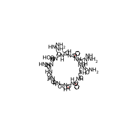 CC[C@H](C)[C@@H]1NC(=O)[C@H](CC(C)C)NC(=O)[C@H](Cc2ccccc2)NC(=O)CSC[C@@H](C(=O)NCC(N)=O)NC(=O)[C@H](CCCNC(=N)N)NC(=O)[C@H](Cc2ccccc2)NC(=O)[C@H](C(C)C)NC(=O)[C@H](CCCNC(=N)N)NC(=O)[C@H](CC(=O)O)NC(=O)[C@H](Cc2c[nH]cn2)NC(=O)[C@H]([C@@H](C)CC)NC(=O)[C@H](C(C)C)NC1=O